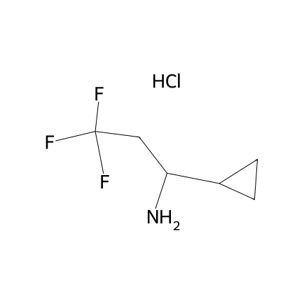 Cl.NC(CC(F)(F)F)C1CC1